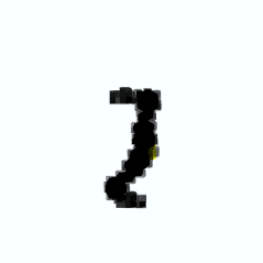 CCCCc1cccc(CCC2=Cc3cc4sc5cc6c(cc5c4cc3C2)CC(CCc2cccc(CCCC)c2)=C6)c1